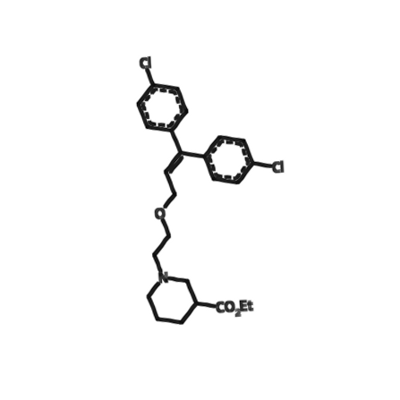 CCOC(=O)C1CCCN(CCOCC=C(c2ccc(Cl)cc2)c2ccc(Cl)cc2)C1